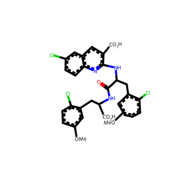 COc1ccc(Cl)c(CC(NC(=O)C(Cc2cc(OC)ccc2Cl)Nc2nc3ccc(Cl)cc3cc2C(=O)O)C(=O)O)c1